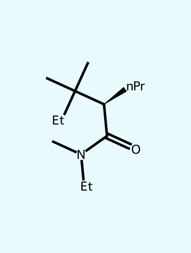 CCC[C@@H](C(=O)N(C)CC)C(C)(C)CC